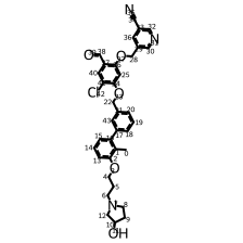 Cc1c(OCCCN2CCC(O)C2)cccc1-c1cccc(COc2cc(OCc3cncc(C#N)c3)c(C=O)cc2Cl)c1